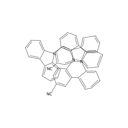 N#Cc1ccc(-n2c3ccccc3c3cccc(-n4c5ccccc5c5ccccc54)c32)c(-c2ccccc2-n2c3ccccc3c3ccc(C#N)cc32)c1